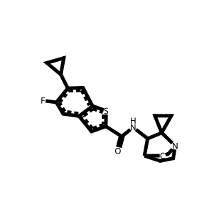 O=C(NC1C2CCN(CC2)C12CC2)c1cc2cc(F)c(C3CC3)cc2s1